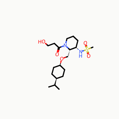 CC(C)[C@H]1CC[C@@H](OC[C@H]2[C@@H](NS(C)(=O)=O)CCCN2C(=O)CCO)CC1